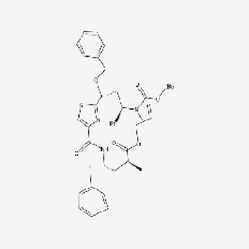 C=CCOC(=O)[C@@H](C)C[C@H](Cc1ccccc1)NC(=O)c1csc([C@@H](C[C@H](C(C)C)N(C)C(=O)OC(C)(C)C)OCc2ccccc2)n1